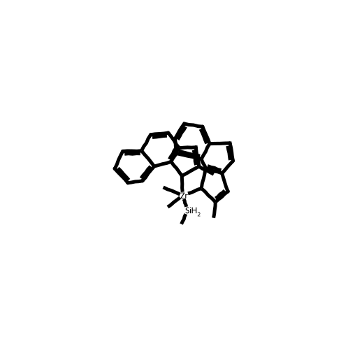 C[SiH2][Zr]([CH3])([CH3])([CH]1C(C)=Cc2ccc3ccccc3c21)[CH]1C(C)=Cc2ccc3ccccc3c21